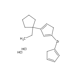 CCC1(C2=CC[C]([Zr][C]3=CC=CC3)=C2)CCCC1.Cl.Cl